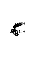 Cl.O=S(=O)(c1ccccc1)n1cc(-c2ccc3cnn(CC4CCNCC4)c3c2)c2ccc(F)cc21